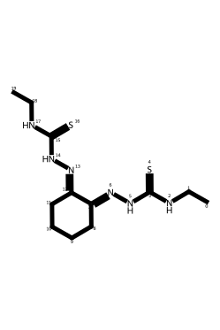 CCNC(=S)N/N=C1\CCCC\C1=N/NC(=S)NCC